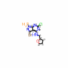 Pn1nc(Br)c2c(NCC3CCCO3)nc(Cl)nc21